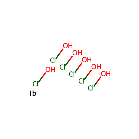 OCl.OCl.OCl.OCl.OCl.OCl.[Tb]